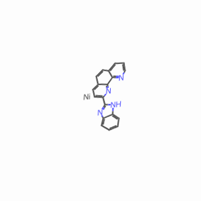 [Ni].c1cnc2c(c1)ccc1ccc(-c3nc4ccccc4[nH]3)nc12